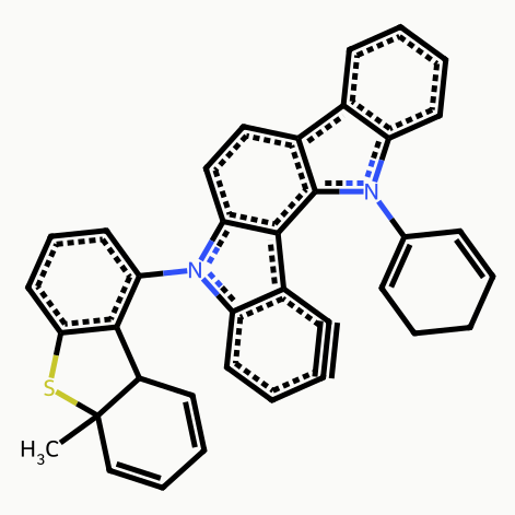 CC12C=CC=CC1c1c(cccc1-n1c3ccc#cc3c3c4c(ccc31)c1ccccc1n4C1=CCCC=C1)S2